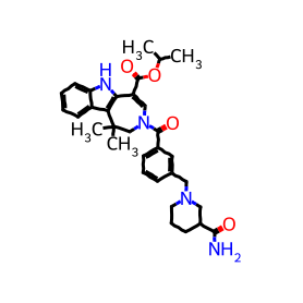 CC(C)OC(=O)C1=CN(C(=O)c2cccc(CN3CCCC(C(N)=O)C3)c2)CC(C)(C)c2c1[nH]c1ccccc21